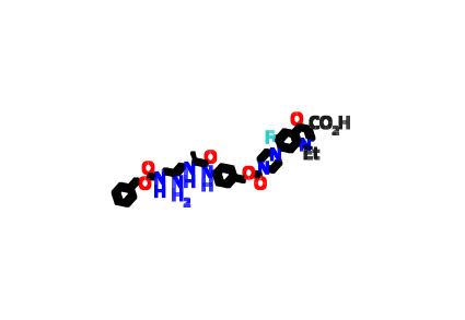 CCn1cc(C(=O)O)c(=O)c2cc(F)c(N3CCN(C(=O)OCc4ccc(NC(=O)[C@H](C)N/C=C(\N)CNC(=O)OCc5ccccc5)cc4)CC3)cc21